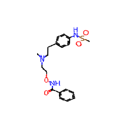 CN(CCONC(=O)c1ccccc1)CCc1ccc(NS(C)(=O)=O)cc1